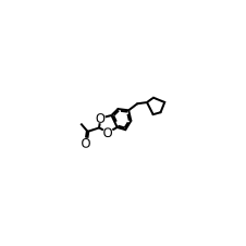 CC(=O)C1Oc2ccc(CC3CCCC3)cc2O1